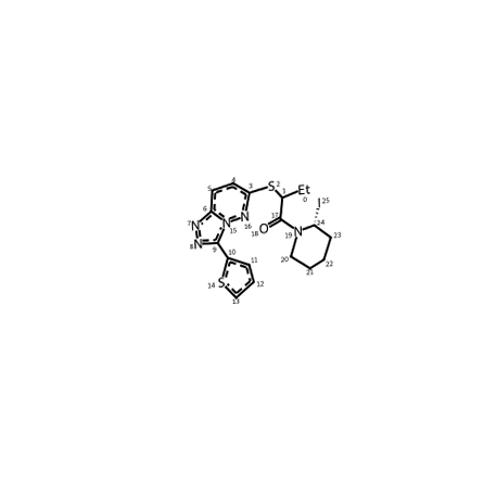 CCC(Sc1ccc2nnc(-c3cccs3)n2n1)C(=O)N1CCCC[C@H]1I